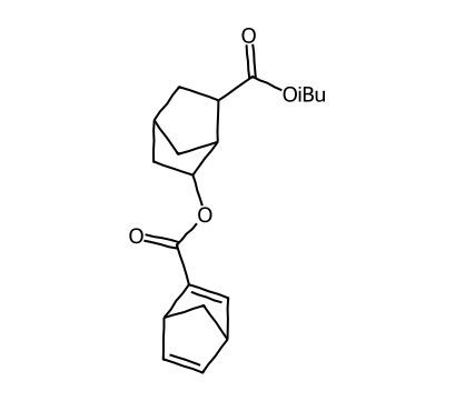 CC(C)COC(=O)C1CC2CC(OC(=O)C3=CC4C=CC3C4)C1C2